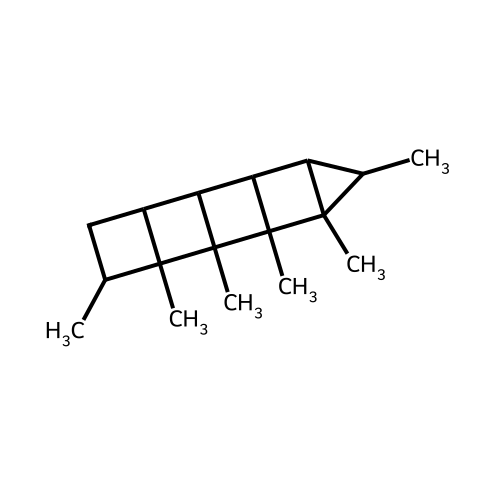 CC1CC2C3C4C5C(C)C5(C)C4(C)C3(C)C12C